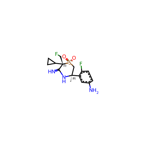 C[C@@]1(c2cc(N)ccc2F)CS(=O)(=O)[C@@](CF)(C2CC2)C(=N)N1